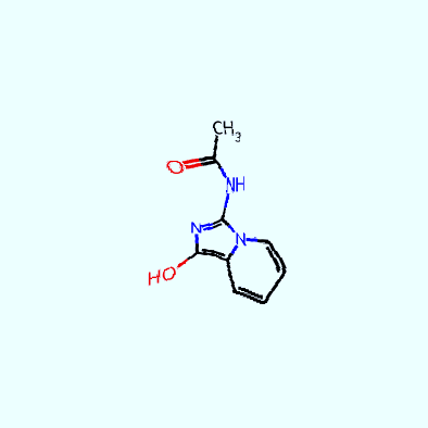 CC(=O)Nc1nc(O)c2ccccn12